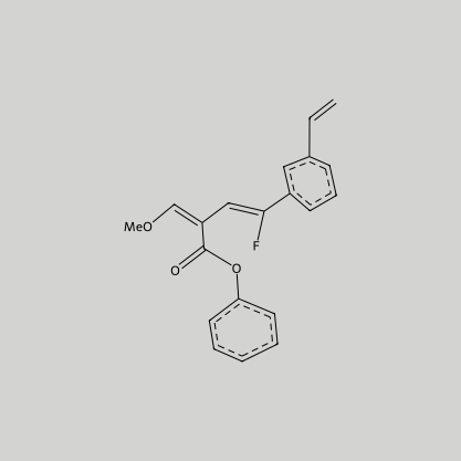 C=Cc1cccc(C(F)=CC(=COC)C(=O)Oc2ccccc2)c1